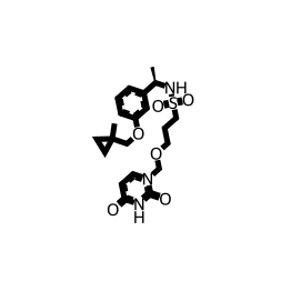 C[C@@H](NS(=O)(=O)CCCOCn1ccc(=O)[nH]c1=O)c1cccc(OCC2(C)CC2)c1